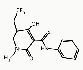 CN1CC(CC(F)(F)F)C(O)=C(C(=S)Nc2ccccc2)C1=O